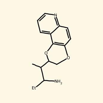 CCC(N)C(C)C1COc2ccc3ncccc3c2O1